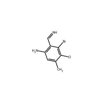 Cc1cc(N)c(C=N)c(Br)c1Cl